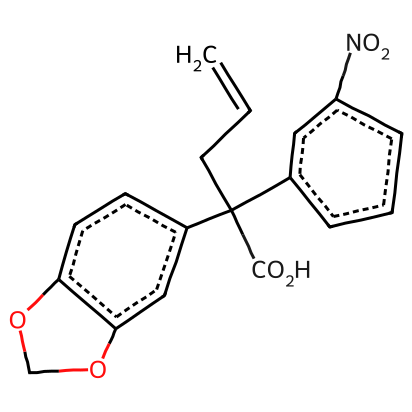 C=CCC(C(=O)O)(c1cccc([N+](=O)[O-])c1)c1ccc2c(c1)OCO2